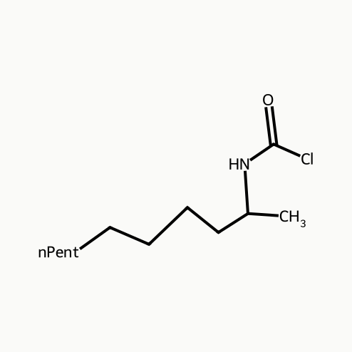 CCCCCCCCCC(C)NC(=O)Cl